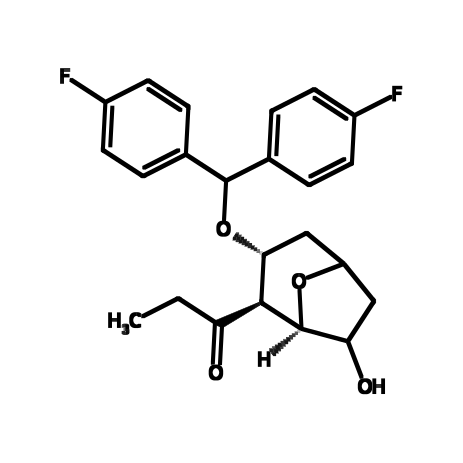 CCC(=O)[C@H]1[C@H](OC(c2ccc(F)cc2)c2ccc(F)cc2)CC2CC(O)[C@@H]1O2